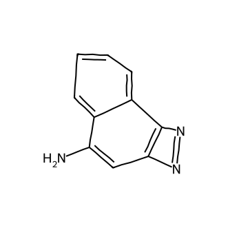 Nc1cc2c(c3ccccc13)N=N2